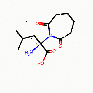 CC(C)C[C@@](N)(C(=O)O)N1C(=O)CCCCC1=O